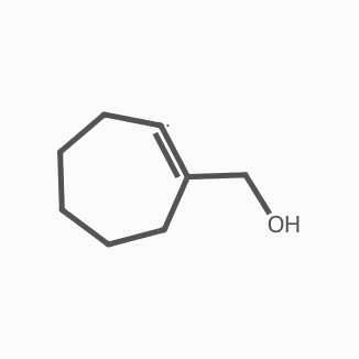 OCC1=[C]CCCCC1